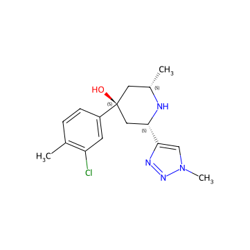 Cc1ccc([C@@]2(O)C[C@@H](c3cn(C)nn3)N[C@@H](C)C2)cc1Cl